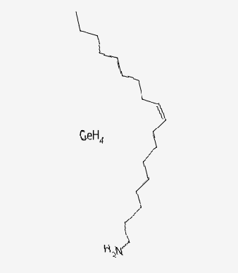 CCCCCCCC/C=C\CCCCCCCCN.[GeH4]